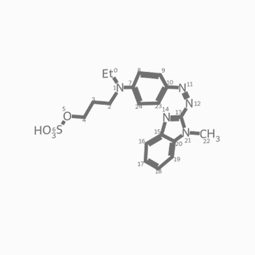 CCN(CCCOS(=O)(=O)O)c1ccc(/N=N\c2nc3ccccc3n2C)cc1